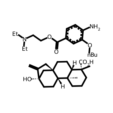 C=C1C[C@@]23CC[C@H]4[C@@](C)(CCC[C@@]4(C)C(=O)O)[C@@H]2CC[C@]1(O)C3.CCCCOc1cc(C(=O)OCCN(CC)CC)ccc1N